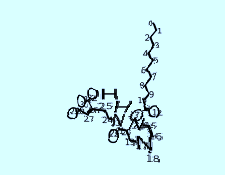 CCCCCCCCCCCC(=O)ON1CCN(C)CC1C(=O)NCCC1=CC(=O)OC1O